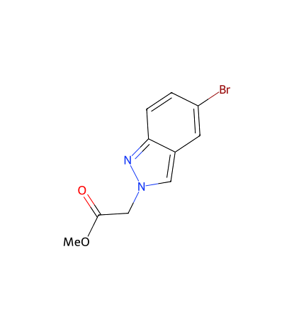 COC(=O)Cn1cc2cc(Br)ccc2n1